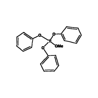 C[O][Ti]([O]c1ccccc1)([O]c1ccccc1)[O]c1ccccc1